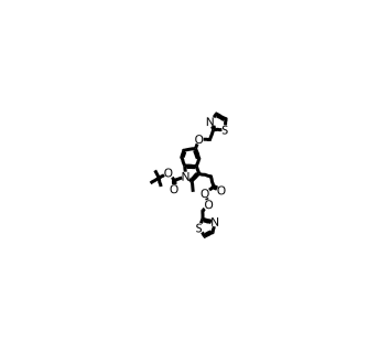 Cc1c(CC(=O)OOCc2nccs2)c2cc(OCc3nccs3)ccc2n1C(=O)OC(C)(C)C